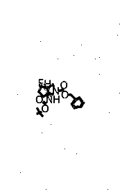 CC(C)(C)OC(=O)N[C@@]12CC[C@H](F)[C@@H]1CN(C(=O)OCc1ccccc1)C2